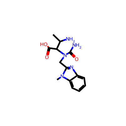 CC(N)C(C(=O)O)N(Cc1nc2ccccc2n1C)C(N)=O